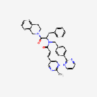 Cc1ncc(C=CC(=O)N(Cc2ccc(-c3ncccn3)cc2)C(Cc2ccccc2)C(=O)N2CCc3ccccc3C2)cn1